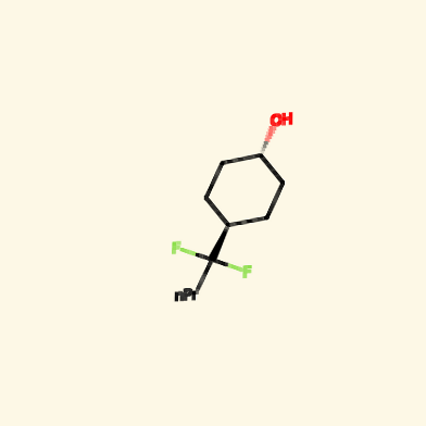 CCCC(F)(F)[C@H]1CC[C@H](O)CC1